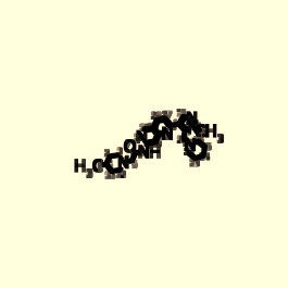 CC1CCN(CC(=O)Nc2cc3nc(-c4cnn(C)c4CN4CCCCC4)ccc3cn2)CC1